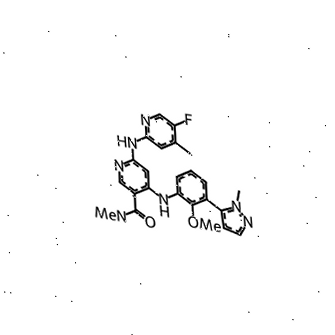 CNC(=O)c1cnc(Nc2cc(C)c(F)cn2)cc1Nc1cccc(-c2ccnn2C)c1OC